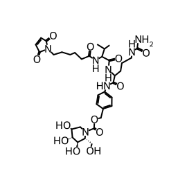 CC(C)C(NC(=O)CCCCCN1C(=O)C=CC1=O)C(=O)NC(CCCNC(N)=O)C(=O)Nc1ccc(COC(=O)N2C[C@@H](O)[C@@H](O)[C@H](O)[C@H]2CO)cc1